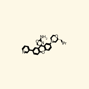 CC(C)C[C@@H]1CN(c2ccc3c(c2)[C@]2(COC(N)=N2)c2cc(-c4cccnc4)ccc2O3)CCO1